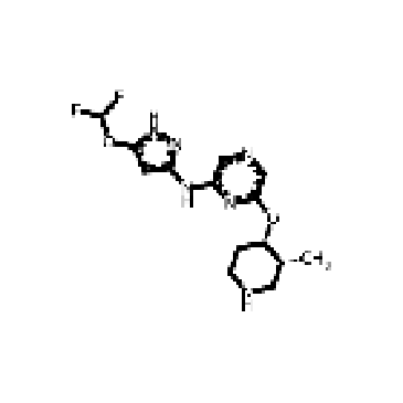 C[C@@H]1CNCC[C@H]1Oc1cncc(Nc2cc(OC(F)F)[nH]n2)n1